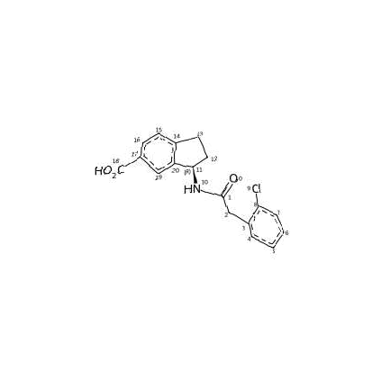 O=C(Cc1ccccc1Cl)N[C@@H]1CCc2ccc(C(=O)O)cc21